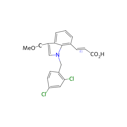 COCc1cn(Cc2ccc(Cl)cc2Cl)c2c(/C=C/C(=O)O)cccc12